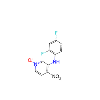 O=[N+]([O-])c1cc[n+]([O-])cc1Nc1ccc(F)cc1F